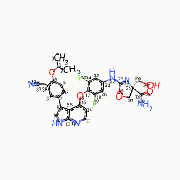 CC(C)Oc1ccc(-c2c[nH]c3nccc(Oc4c(F)cc(NC5=N[C@@](CO)(C(N)=O)CO5)cc4F)c23)cc1C#N